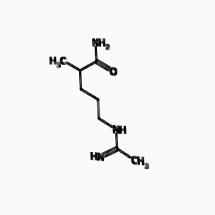 CC(=N)NCCCC(C)C(N)=O